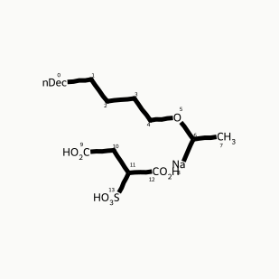 CCCCCCCCCCCCCCO[CH](C)[Na].O=C(O)CC(C(=O)O)S(=O)(=O)O